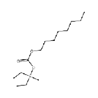 CCCCCCCCOC(=O)O[Si](C)(CC)CC